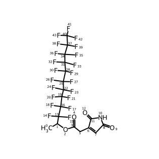 CC(OC(=O)CC1=CC(=O)NC1=O)C(F)(F)C(F)(F)C(F)(F)C(F)(F)C(F)(F)C(F)(F)C(F)(F)C(F)(F)C(F)(F)C(F)(F)F